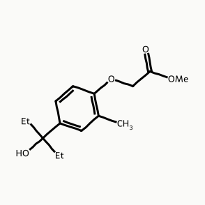 CCC(O)(CC)c1ccc(OCC(=O)OC)c(C)c1